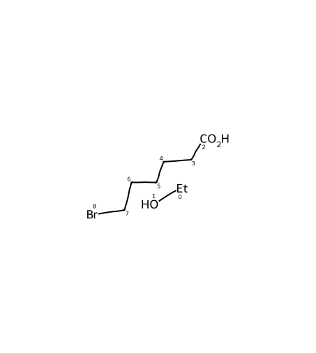 CCO.O=C(O)CCCCCBr